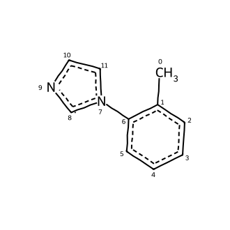 Cc1ccccc1-n1[c]ncc1